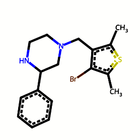 Cc1sc(C)c(CN2CCNC(c3ccccc3)C2)c1Br